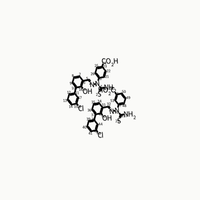 NC(=S)N(N=Cc1cccc(-c2cccc(Cl)c2)c1O)c1ccc(C(=O)O)cc1.NC(=S)N(N=Cc1cccc(-c2cccc(Cl)c2)c1O)c1cccc(C(=O)O)c1